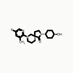 Cc1cc(F)cnc1N1CCC[C@]2(CCN([C@H]3CC[C@H](O)CC3)C2=O)C1